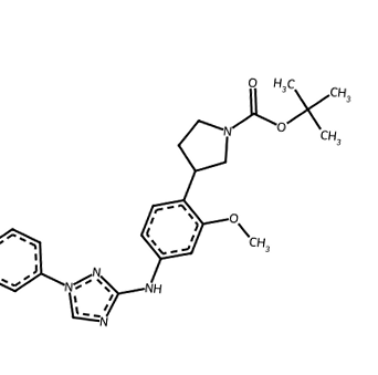 COc1cc(Nc2ncn(-c3ccccc3)n2)ccc1C1CCN(C(=O)OC(C)(C)C)C1